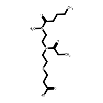 CCCCC(=O)N(C)CCN(CCSCCC(=O)O)C(=O)CC